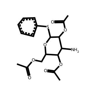 CC(=O)OCC1OC(Sc2ccccc2)C(OC(C)=O)C(N)C1OC(C)=O